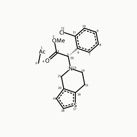 CC(C)=O.COC(=O)[C@H](c1ccccc1Cl)N1CCc2sccc2C1